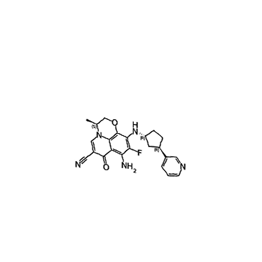 C[C@H]1COc2c(N[C@@H]3CC[C@@H](c4cccnc4)C3)c(F)c(N)c3c(=O)c(C#N)cn1c23